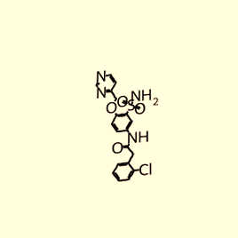 NS(=O)(=O)c1cc(NC(=O)Cc2ccccc2Cl)ccc1OCc1ccncn1